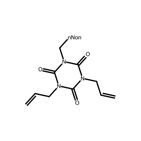 C=CCn1c(=O)n(CC=C)c(=O)n(CCCCCCCCCC)c1=O